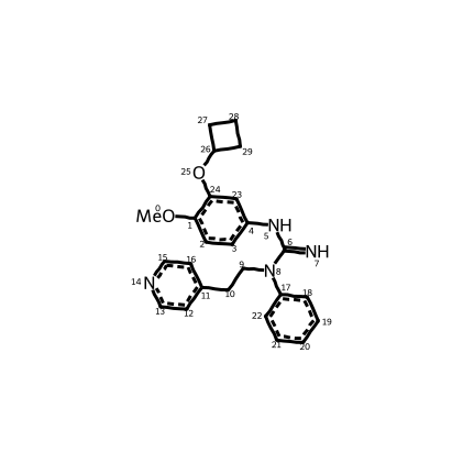 COc1ccc(NC(=N)N(CCc2ccncc2)c2ccccc2)cc1OC1CCC1